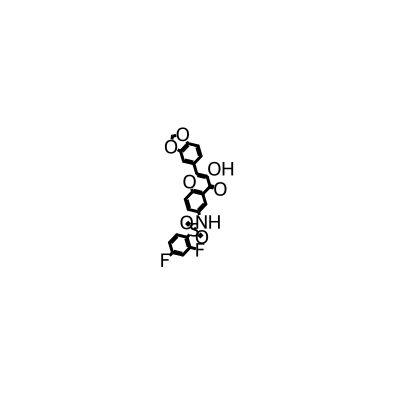 O=c1c(O)c(-c2ccc3c(c2)OCO3)oc2ccc(NS(=O)(=O)c3ccc(F)cc3F)cc12